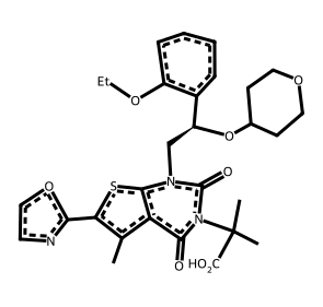 CCOc1ccccc1[C@H](Cn1c(=O)n(C(C)(C)C(=O)O)c(=O)c2c(C)c(-c3ncco3)sc21)OC1CCOCC1